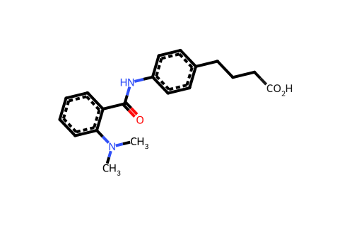 CN(C)c1ccccc1C(=O)Nc1ccc(CCCC(=O)O)cc1